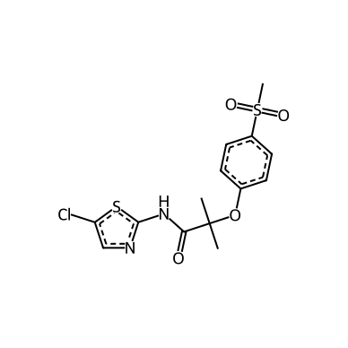 CC(C)(Oc1ccc(S(C)(=O)=O)cc1)C(=O)Nc1ncc(Cl)s1